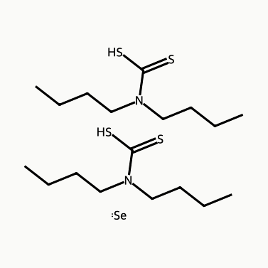 CCCCN(CCCC)C(=S)S.CCCCN(CCCC)C(=S)S.[Se]